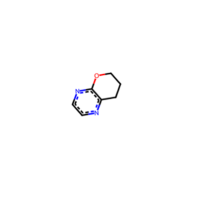 c1cnc2c(n1)CCCO2